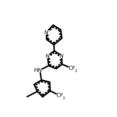 Cc1cc(Nc2cc(C(F)(F)F)nc(-c3cccnc3)n2)cc(C(F)(F)F)c1